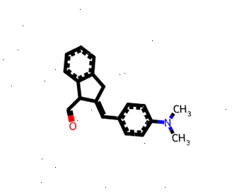 CN(C)c1ccc(C=C2Cc3ccccc3C2C=O)cc1